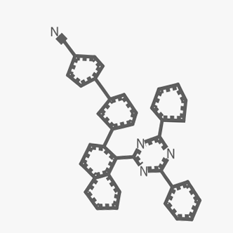 N#Cc1ccc(-c2cccc(-c3ccc4ccccc4c3-c3nc(-c4ccccc4)nc(-c4ccccc4)n3)c2)cc1